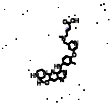 Cc1cc(Nc2ncnc3cc4c(nc23)N2CCN[C@H](CO4)C2)ccc1Oc1cncc(CN(C)C/C=C/C(=O)O)c1